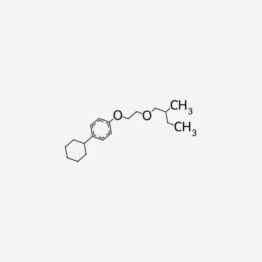 CCC(C)COCCOc1ccc(C2CCCCC2)cc1